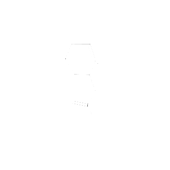 CC(=O)CC1CCCC=N1